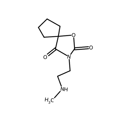 CNCCN1C(=O)OC2(CCCC2)C1=O